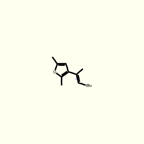 C/C(=C\C(C)(C)C)c1cc(C)oc1C